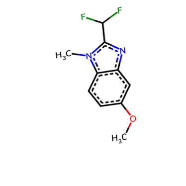 COc1ccc2c(c1)nc(C(F)F)n2C